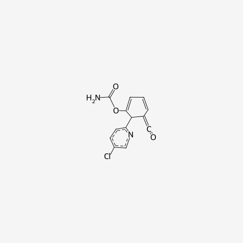 NC(=O)OC1=CC=CC(=C=O)C1c1ccc(Cl)cn1